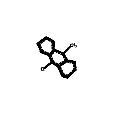 Cc1c2[c]cccc2c(Cl)c2ccccc12